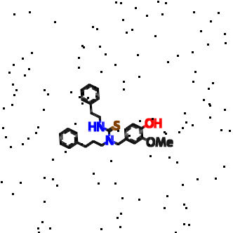 COc1cc(CN(CCCc2ccccc2)C(=S)NCCc2ccccc2)ccc1O